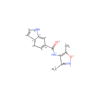 Cc1noc(C)c1NC(=O)c1ccc2cc[nH]c2c1